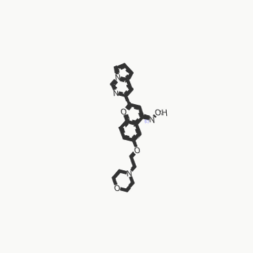 O/N=c1\cc(-c2cc3cccn3cn2)oc2ccc(OCCN3CCOCC3)cc12